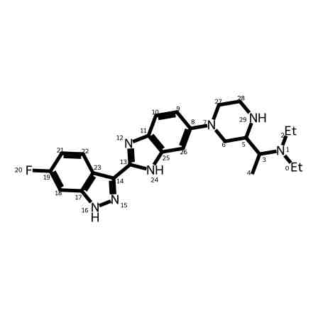 CCN(CC)C(C)C1CN(c2ccc3nc(-c4n[nH]c5cc(F)ccc45)[nH]c3c2)CCN1